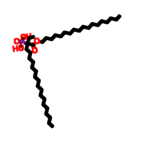 CCCCCCCCCCCCCCCCCCOC(=O)C(CC)(CCCCCCCCCCCCCCCCCC)P(=O)(O)O